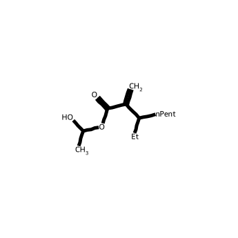 C=C(C(=O)OC(C)O)C(CC)CCCCC